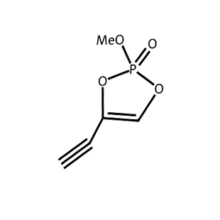 C#CC1=COP(=O)(OC)O1